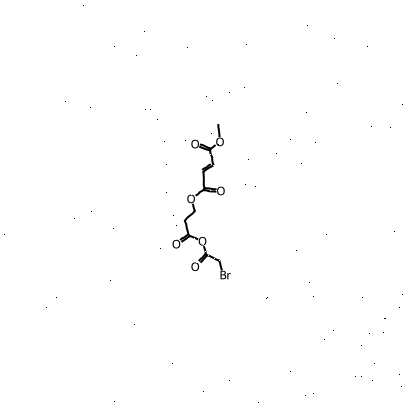 COC(=O)C=CC(=O)OCCC(=O)OC(=O)CBr